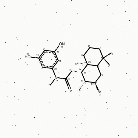 C[C@H]1[C@H](Br)CC2C(C)(C)CCC[C@]2(C)[C@H]1CC(=O)N(C)c1cc(O)cc(O)c1